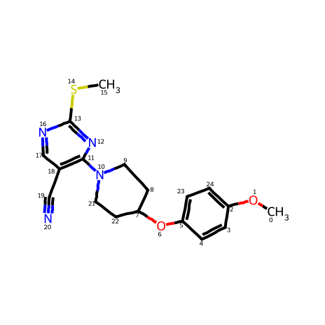 COc1ccc(OC2CCN(c3nc(SC)ncc3C#N)CC2)cc1